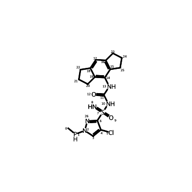 CPn1cc(Cl)c(S(=N)(=O)NC(=O)Nc2c3c(cc4c2CCC4)CCC3)n1